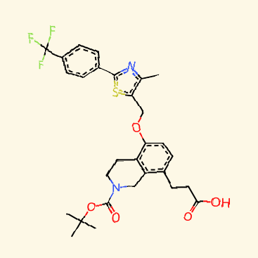 Cc1nc(-c2ccc(C(F)(F)F)cc2)sc1COc1ccc(CCC(=O)O)c2c1CCN(C(=O)OC(C)(C)C)C2